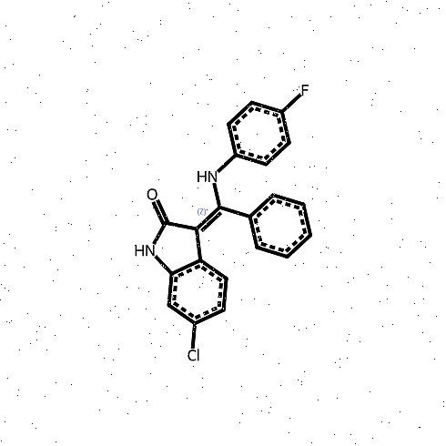 O=C1Nc2cc(Cl)ccc2/C1=C(/Nc1ccc(F)cc1)c1ccccc1